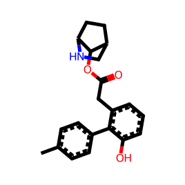 Cc1ccc(-c2c(O)cccc2CC(=O)OC2C3CCC2NC3)cc1